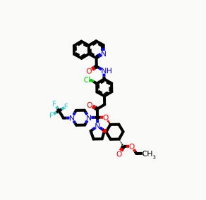 CCOC(=O)[C@H]1CC[C@H](OC(C(=O)Cc2ccc(NC(=O)c3nccc4ccccc34)c(Cl)c2)(N2CCCC2)N2CCN(CC(F)(F)F)CC2)CC1